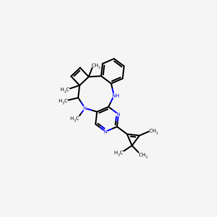 CC1=C(c2ncc3c(n2)Nc2ccccc2C2(C)C=CC2(C)C(C)N3C)C1(C)C